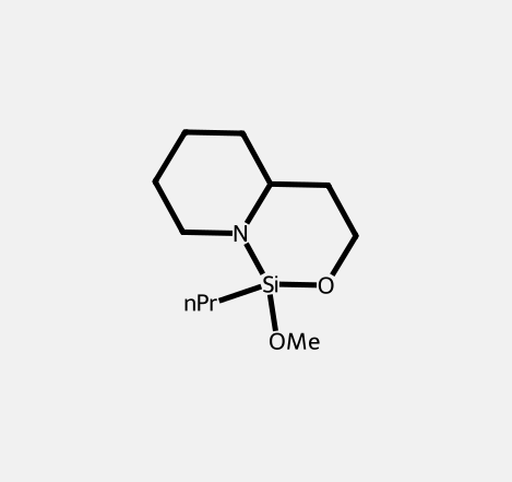 CCC[Si]1(OC)OCCC2CCCCN21